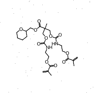 C=C(C)C(=O)OCCNC(=O)OCC(C)(COC(=O)NCCOC(=O)C(=C)C)C(=O)OCC1CCCCO1